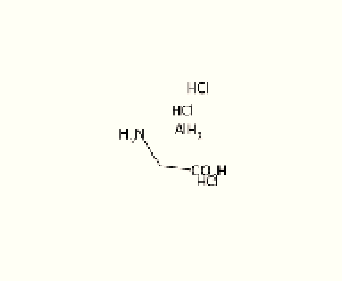 Cl.Cl.Cl.NCC(=O)O.[AlH3]